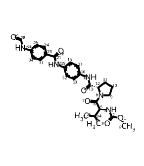 COC(=O)N[C@H](C(=O)N1CCC[C@H]1C(=O)Nc1ccc(NC(=O)c2ccc(NC=O)cc2)cc1)C(C)C